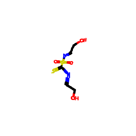 O=S(=O)(N=CCO)C(=S)N=CCO